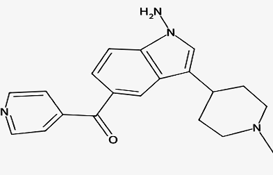 CN1CCC(c2cn(N)c3ccc(C(=O)c4ccncc4)cc23)CC1